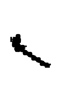 O=C1CCC(N2Cc3c(cccc3[S+]([O-])CCOCCOCCOCCOCCOCCBr)C2=O)C(=O)N1